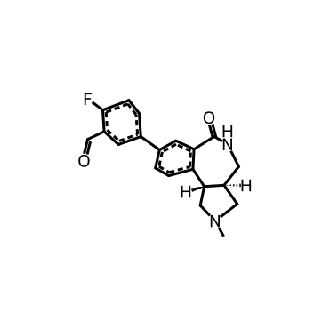 CN1C[C@@H]2CNC(=O)c3cc(-c4ccc(F)c(C=O)c4)ccc3[C@H]2C1